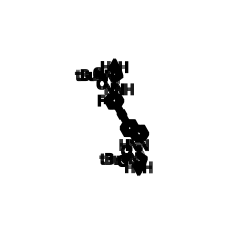 CC(C)(C)OC(=O)N1[C@@H]2C[C@@H]2C[C@H]1c1nc2c(F)cc(C#Cc3ccc4c(ccc5nc([C@@H]6C[C@H]7C[C@H]7N6C(=O)OC(C)(C)C)[nH]c54)c3)cc2[nH]1